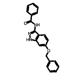 O=C(Nc1n[nH]c2cc(OCc3ccccc3)ccc12)c1ccccc1